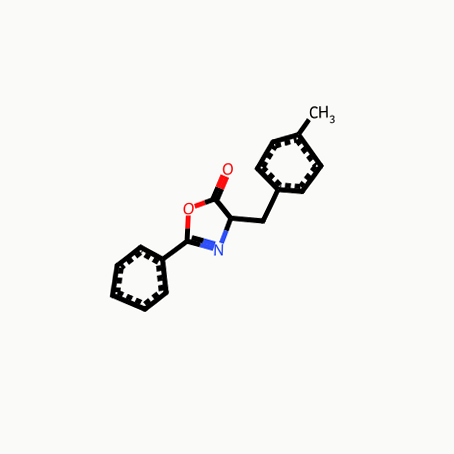 Cc1ccc(CC2N=C(c3ccccc3)OC2=O)cc1